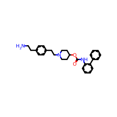 NCCc1ccc(CCN2CCC(OC(=O)Nc3ccccc3-c3ccccc3)CC2)cc1